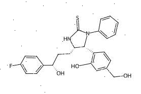 OCc1ccc([C@@H]2[C@H](CC[C@H](O)c3ccc(F)cc3)NC(=S)N2c2ccccc2)c(O)c1